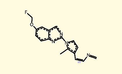 C=N/C=C\c1ccn(-c2ncc3cc(OCF)ccc3n2)c1C